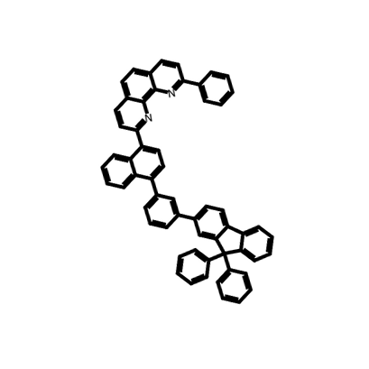 c1ccc(-c2ccc3ccc4ccc(-c5ccc(-c6cccc(-c7ccc8c(c7)C(c7ccccc7)(c7ccccc7)c7ccccc7-8)c6)c6ccccc56)nc4c3n2)cc1